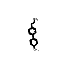 CC1C=CC(c2ccc(CCN)cc2)=CC1